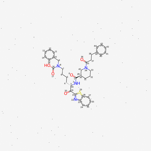 O=C(N[C@@H](CCCCN(Cc1ccccc1)C(=O)O)C(=O)c1nc2ccccc2s1)[C@@H]1CCCN(C(=O)CCc2ccccc2)C1